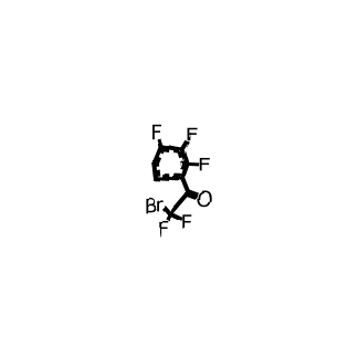 O=C(c1ccc(F)c(F)c1F)C(F)(F)Br